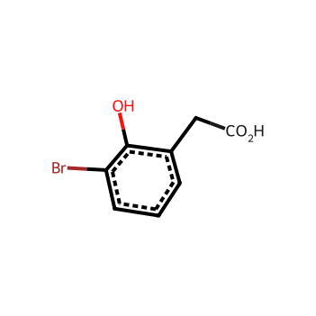 O=C(O)Cc1cccc(Br)c1O